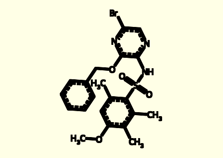 COc1cc(C)c(S(=O)(=O)Nc2ncc(Br)nc2OCc2ccccc2)c(C)c1C